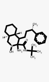 C[C@@H](CCC1[C@H]2CCCC[C@@H]2CN(O)C1(N)C(=O)NC(C)(C)C)c1ccccc1